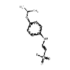 CC(C)Oc1ccc(NC=CS(=O)(=O)F)cc1